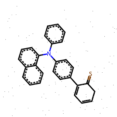 S=C1CC=CC=C1c1ccc(N(c2ccccc2)c2cccc3ccccc23)cc1